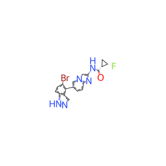 O=C(Nc1cn2cc(-c3c(Br)ccc4[nH]ncc34)ccc2n1)[C@@H]1C[C@@H]1F